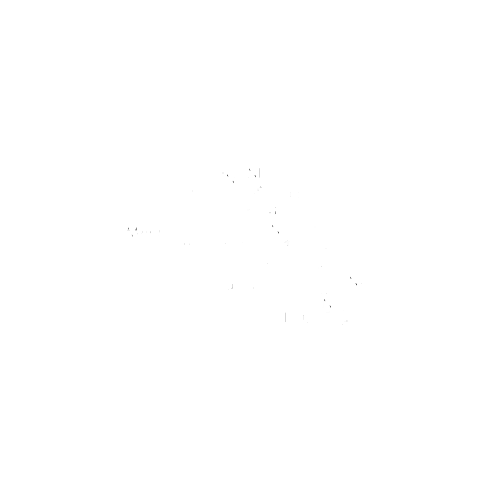 COc1ccc(-c2n[nH]c3c2C(C2CCCCC2)N(c2ccc(-c4nccn4C)cc2)C3=O)cc1